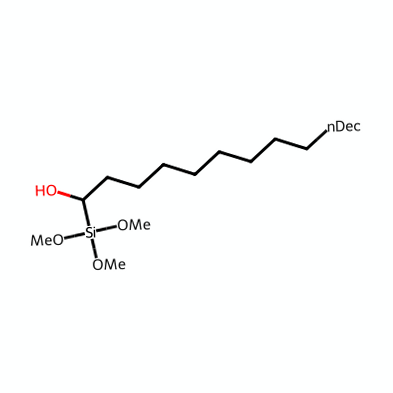 CCCCCCCCCCCCCCCCCCC(O)[Si](OC)(OC)OC